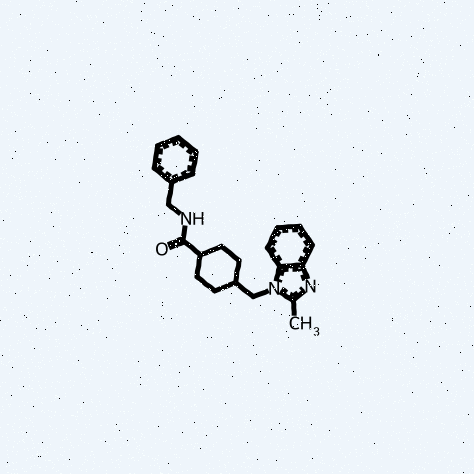 Cc1nc2ccccc2n1CC1CCC(C(=O)NCc2ccccc2)CC1